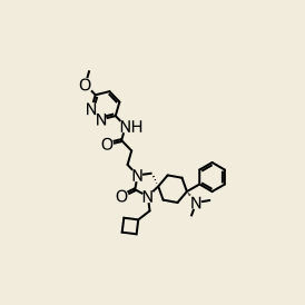 COc1ccc(NC(=O)CCN2C[C@]3(CC[C@@](c4ccccc4)(N(C)C)CC3)N(CC3CCC3)C2=O)nn1